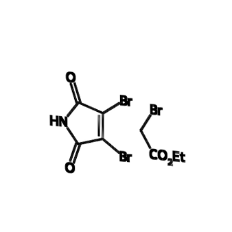 CCOC(=O)CBr.O=C1NC(=O)C(Br)=C1Br